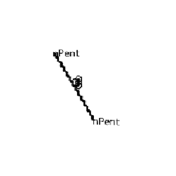 CCCCCC=CCC=CCCCCCCCCC(CCCCCCCCC=CCC=CCCCCC)OS(C)(=O)=O